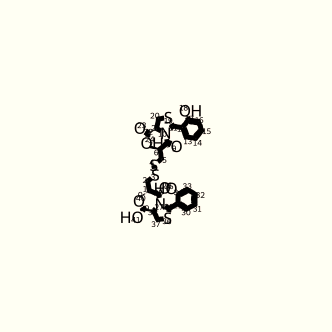 C[C@H](CSSC[C@@H](C)C(=O)N1C(c2ccccc2O)SC[C@H]1C(=O)O)C(=O)N1C(c2ccccc2O)SC[C@H]1C(=O)O